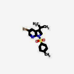 Cc1ccc(S(=O)(=O)n2cc(C(C)C)c3cc(Br)cnc32)cc1